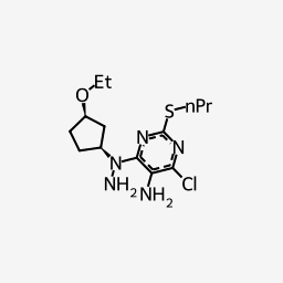 CCCSc1nc(Cl)c(N)c(N(N)[C@H]2CC[C@@H](OCC)C2)n1